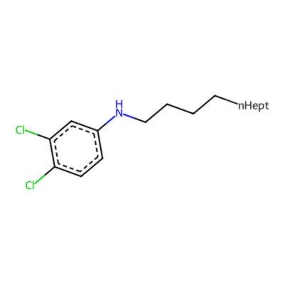 CCCCCCCCCCCNc1ccc(Cl)c(Cl)c1